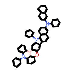 c1ccc(N(c2ccc3ccccc3c2)c2ccc3c(ccc4c5cc6c(cc5n(-c5ccccc5)c34)B3c4ccccc4N(c4ccccc4)c4cccc(c43)O6)c2)cc1